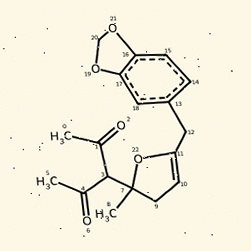 CC(=O)C(C(C)=O)C1(C)CC=C(Cc2ccc3c(c2)OCO3)O1